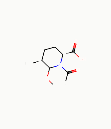 COC1[C@@H](C)CC[C@@H](C(=O)O)N1C(C)=O